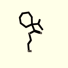 CC(C)C1(C(=O)OCCO)CCCCCC1